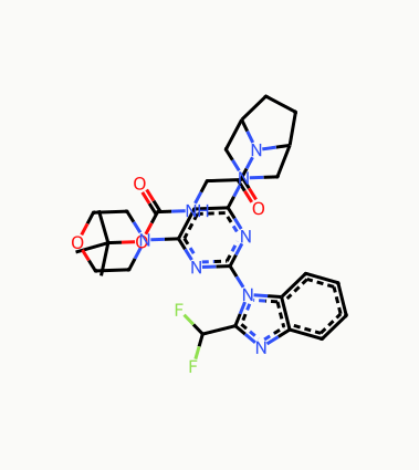 CC(C)(C)OC(=O)NCC(=O)N1C2CCC1CN(c1cc(N3CCOCC3)nc(-n3c(C(F)F)nc4ccccc43)n1)C2